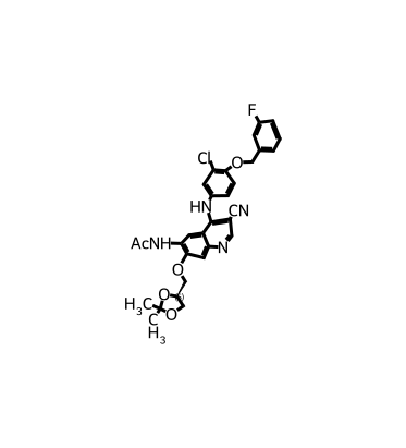 CC(=O)Nc1cc2c(Nc3ccc(OCc4cccc(F)c4)c(Cl)c3)c(C#N)cnc2cc1OC[C@H]1COC(C)(C)O1